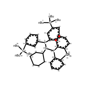 CCCC[Si](CCCC)(CCCC)c1cccc(P(c2cccc([Si](CCCC)(CCCC)CCCC)c2)N(C2CCCCC2)P(c2ccccc2C(F)(F)F)c2ccccc2C(F)(F)F)c1